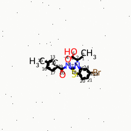 CCC(C(=O)O)n1/c(=N/C(=O)c2ccc(C)cc2)sc2ccc(Br)cc21